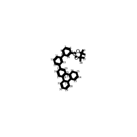 CC1(C)OB(c2cccc(-c3cccc(-c4ccc5c(c4)C4=C(C=CCC4)C4C=CC=CC54)c3)c2)OC1(C)C